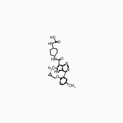 Cc1ccc(OCC2CC2)c(-c2ncnc3c(C(=O)NC4CCC(NC(=O)O)CC4)c(C)[nH]c23)c1